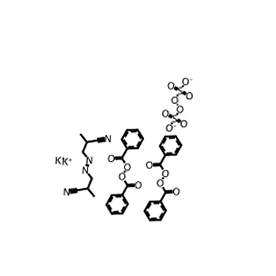 CC(C#N)CN=NCC(C)C#N.O=C(OOC(=O)c1ccccc1)c1ccccc1.O=C(OOC(=O)c1ccccc1)c1ccccc1.O=S(=O)([O-])OOS(=O)(=O)[O-].[K+].[K+]